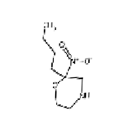 CCCCC1([N+](=O)[O-])CNCCO1